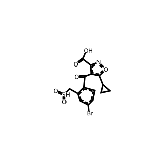 O=C(O)c1noc(C2CC2)c1C(=O)c1ccc(Br)cc1C[SH](=O)=O